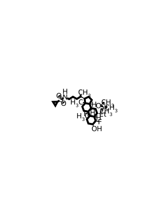 CC[C@H]1[C@@H](O[Si](C)(C)C)[C@@H]2[C@H](CC[C@]3(C)[C@@H](C(C)CCCNS(=O)(=O)C4CC4)CC[C@@H]23)[C@@]2(C)CC[C@@H](O)[C@H](F)[C@@H]12